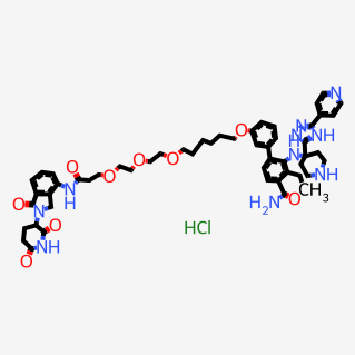 CCc1c(C(N)=O)ccc(-c2cccc(OCCCCCCOCCOCCOCCC(=O)Nc3cccc4c3CN(C3CCC(=O)NC3=O)C4=O)c2)c1NC1(c2nnc(-c3ccncc3)[nH]2)CCNCC1.Cl